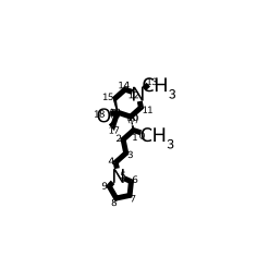 CC(CCCN1CCCC1)[C@H]1CN(C)CC[C@]12CO2